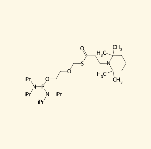 CC(C)N(C(C)C)P(OCCOCSC(=O)CCN1C(C)(C)CCCC1(C)C)N(C(C)C)C(C)C